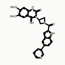 COc1cc2[nH]c(=S)n(C3CN(C(=O)c4cc5cc(-c6cccnc6)ccc5[nH]4)C3)c(=N)c2cc1OC